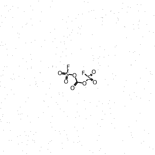 O=C(OS(=O)(=O)F)OS(=O)(=O)F